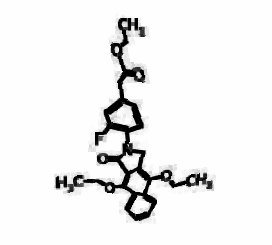 CCOC(=O)Cc1ccc(N2Cc3c(c(OCC)c4ccccc4c3OCC)C2=O)c(F)c1